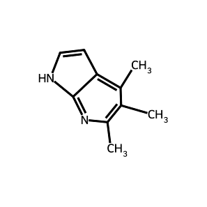 Cc1nc2[nH]ccc2c(C)c1C